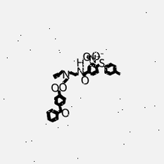 C#CCN(CCNC(=O)c1ccc(Sc2ccc(C)cc2)c([N+](=O)[O-])c1)CCOC(=O)c1ccc(C(=O)c2ccccc2)cc1